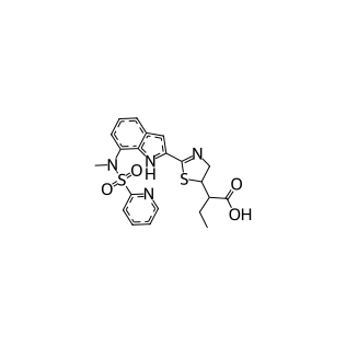 CCC(C(=O)O)C1CN=C(c2cc3cccc(N(C)S(=O)(=O)c4ccccn4)c3[nH]2)S1